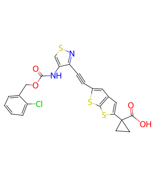 O=C(Nc1csnc1C#Cc1cc2cc(C3(C(=O)O)CC3)sc2s1)OCc1ccccc1Cl